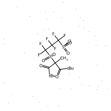 CC(C)(C)C(=O)C(C)(C(=O)C(C)(C)C)S(=O)(=O)C(F)(F)C(F)(F)C(F)(F)S(=O)(=O)Cl